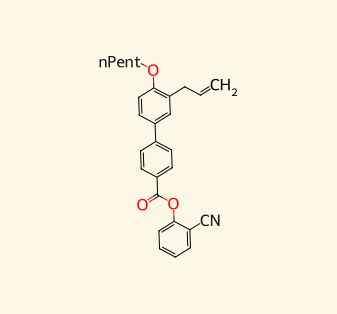 C=CCc1cc(-c2ccc(C(=O)Oc3ccccc3C#N)cc2)ccc1OCCCCC